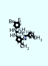 C=Nc1ccc(NC(=O)Nc2ccc(F)c(Br)c2)cc1/N=C(\C)c1cnn(C)c1